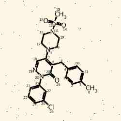 Cc1ccc(Cc2c(N3CCN(S(C)(=O)=O)CC3)cnn(-c3cccc(Cl)c3)c2=O)cc1